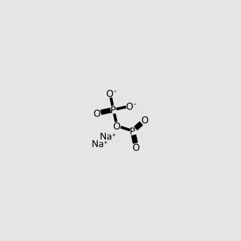 O=P(=O)OP(=O)([O-])[O-].[Na+].[Na+]